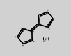 C1=CC(=C2C=CC=C2)C=C1.[LiH]